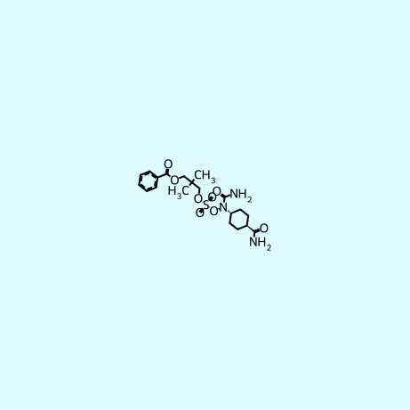 CC(C)(COC(=O)c1ccccc1)COS(=O)(=O)ON(C(N)=O)[C@H]1CC[C@H](C(N)=O)CC1